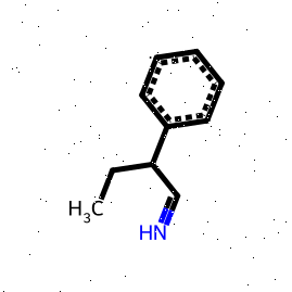 CCC(C=N)c1c[c]ccc1